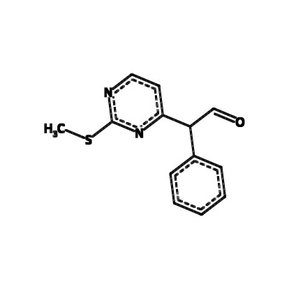 CSc1nccc(C(C=O)c2ccccc2)n1